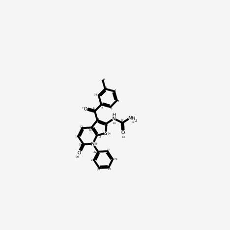 Cc1cccc(C(=O)c2c(NC(N)=O)sc3c2ccc(=O)n3-c2ccccc2)c1